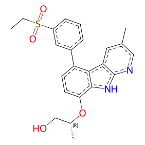 CCS(=O)(=O)c1cccc(-c2ccc(O[C@H](C)CO)c3[nH]c4ncc(C)cc4c23)c1